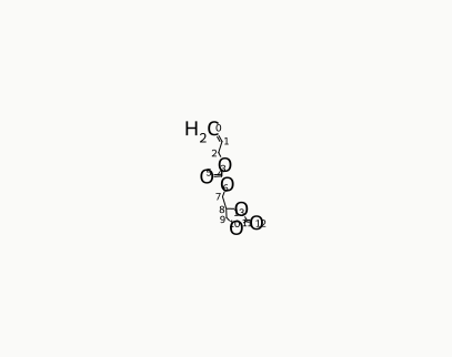 C=CCOC(=O)OCC1COC(=O)O1